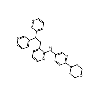 c1cncc(C(Cc2cccnc2Nc2ccc(N3CCOCC3)nc2)c2cccnc2)c1